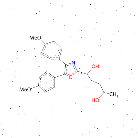 COc1ccc(-c2nc(C(O)CCC(C)O)oc2-c2ccc(OC)cc2)cc1